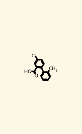 Cc1ccccc1-c1ccc(Cl)cc1C(=O)O